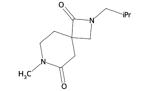 CC(C)CN1CC2(CCN(C)C(=O)C2)C1=O